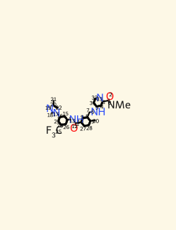 CNC(=O)c1cc(NCc2cc(C(=O)Nc3cc(-n4cnc(C)c4)cc(C(F)(F)F)c3)ccc2C)ccn1